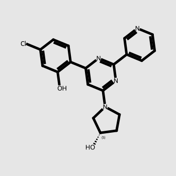 Oc1cc(Cl)ccc1-c1cc(N2CC[C@H](O)C2)nc(-c2cccnc2)n1